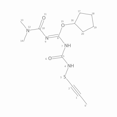 CC#CSNC(=O)NC(=NC(=O)N(C)C)OC1CCCC1